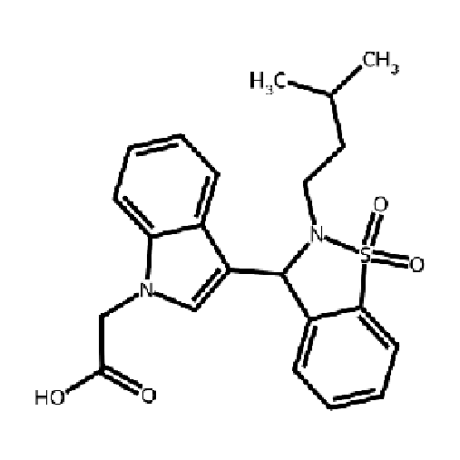 CC(C)CCN1C(c2cn(CC(=O)O)c3ccccc23)c2ccccc2S1(=O)=O